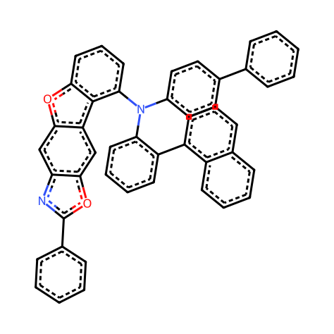 c1ccc(-c2ccc(N(c3ccccc3-c3cccc4ccccc34)c3cccc4oc5cc6nc(-c7ccccc7)oc6cc5c34)cc2)cc1